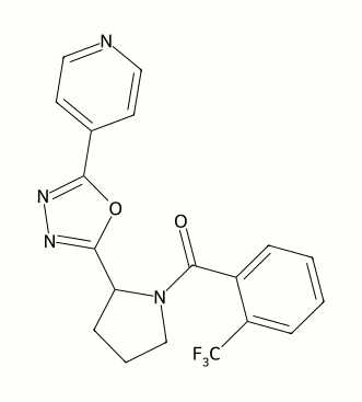 O=C(c1ccccc1C(F)(F)F)N1CCCC1c1nnc(-c2ccncc2)o1